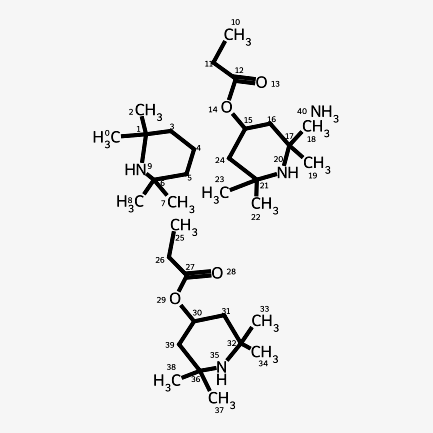 CC1(C)CCCC(C)(C)N1.CCC(=O)OC1CC(C)(C)NC(C)(C)C1.CCC(=O)OC1CC(C)(C)NC(C)(C)C1.N